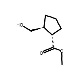 COC(=O)[C@H]1CCC[C@@H]1CO